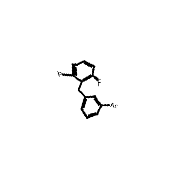 CC(=O)c1cccc(Cc2c(F)cccc2F)c1